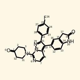 O=C1CCN(c2nccc3c(-c4ccc5c(c4)CC(=O)N5)c(-c4ccc(F)cc4)nn23)CC1